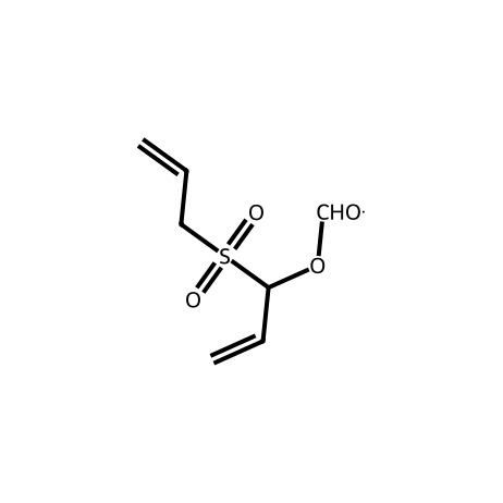 C=CCS(=O)(=O)C(C=C)O[C]=O